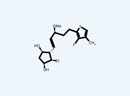 CC[C@@H]1[C@@H](/C=C/[C@H](CCc2scc(C)c2F)OC)[C@H](O)C[C@@H]1O